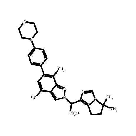 CCOC(=O)C(c1ncn2c1CCC2(C)C)n1cc2c(C(F)(F)F)cc(-c3ccc(N4CCOCC4)cc3)c(C)c2n1